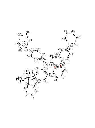 CC1(C)c2ccccc2-c2cc(-c3ccccc3)c(N(c3ccc(C4CC5CCC4C5)cc3)c3ccc4ccc(C5CCCCC5)cc4c3)cc21